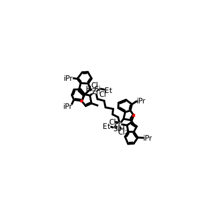 CC[SiH2][Zr]([Cl])([Cl])([CH2]CCCC[CH2][Zr]([Cl])([Cl])([SiH2]CC)([CH]1C(C)=Cc2c(C(C)C)cccc21)[CH]1C(C)=Cc2c(C(C)C)cccc21)([CH]1C(C)=Cc2c(C(C)C)cccc21)[CH]1C(C)=Cc2c(C(C)C)cccc21